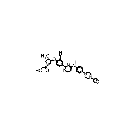 C[C@H]1CN(C(=O)CO)CC1Oc1ccc(-c2nccc(Nc3ccc(N4CCN(C5COC5)CC4)cc3)n2)cc1C#N